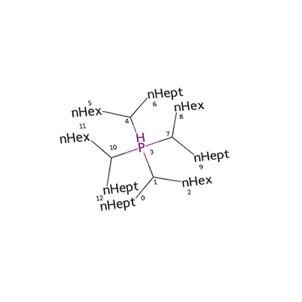 CCCCCCCC(CCCCCC)[PH](C(CCCCCC)CCCCCCC)(C(CCCCCC)CCCCCCC)C(CCCCCC)CCCCCCC